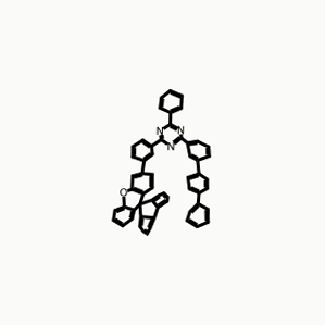 c1ccc(-c2ccc(-c3cccc(-c4nc(-c5ccccc5)nc(-c5cccc(-c6ccc7c(c6)Oc6ccccc6C76c7ccccc7-c7ccccc76)c5)n4)c3)cc2)cc1